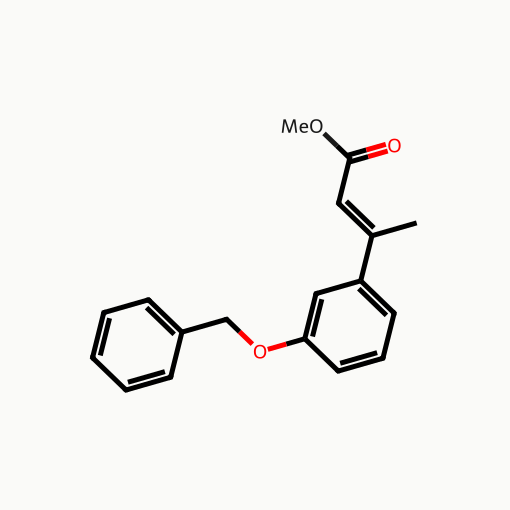 COC(=O)C=C(C)c1cccc(OCc2ccccc2)c1